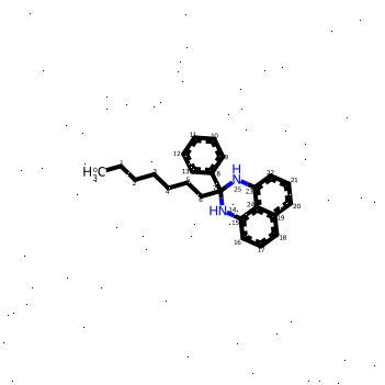 CCCCCCCC1(c2ccccc2)Nc2cccc3cccc(c23)N1